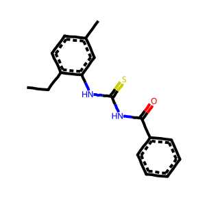 CCc1ccc(C)cc1NC(=S)NC(=O)c1ccccc1